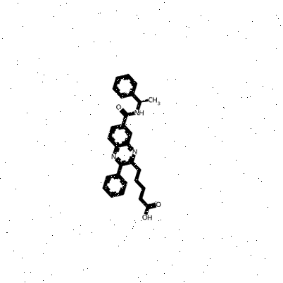 C[C@@H](NC(=O)c1ccc2nc(-c3ccccc3)c(CCCCC(=O)O)nc2c1)c1ccccc1